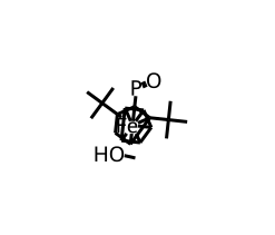 CC(C)(C)[C]12[CH]3[CH]4[C]5(C(C)(C)C)[C]1(P=O)[Fe]34251678[CH]2[CH]1[CH]6[CH]7[CH]28.CO